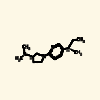 CC[C@H](C)c1ccc(N2CC[C@@H](N(C)C)C2)nc1